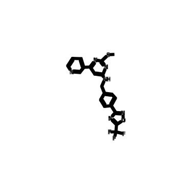 CSc1nc(NCc2ccc(-c3noc(C(F)(F)F)n3)cc2)cc(-c2cccnc2)n1